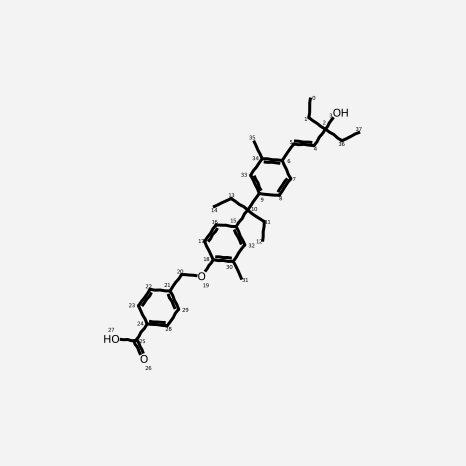 CCC(O)(C=Cc1ccc(C(CC)(CC)c2ccc(OCc3ccc(C(=O)O)cc3)c(C)c2)cc1C)CC